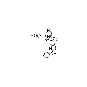 N[N+]12C=CN=CC1=C(C1CC(O)C1)N=C2c1cc2nc(Nc3ccccc3)ccc2cc1F